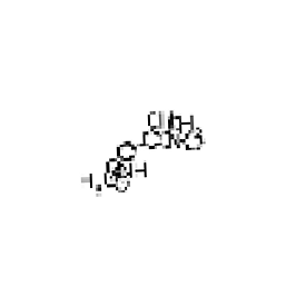 C=C1c2c(C)cc(-c3cccc(NS(C)(=O)=O)c3)cc2CN1C1CCCCC1